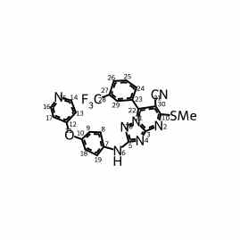 CSc1nc2nc(Nc3ccc(Oc4ccncc4)cc3)nn2c(-c2cccc(C(F)(F)F)c2)c1C#N